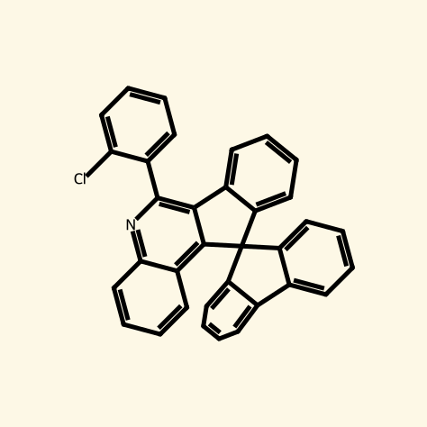 Clc1ccccc1-c1nc2ccccc2c2c1-c1ccccc1C21c2ccccc2-c2ccccc21